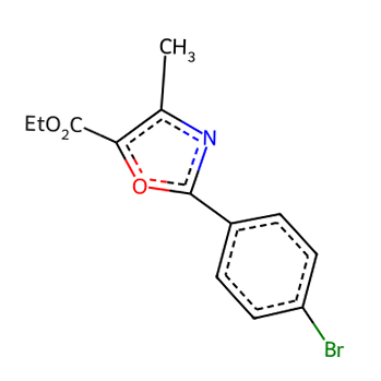 CCOC(=O)c1oc(-c2ccc(Br)cc2)nc1C